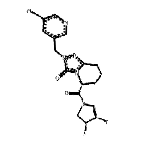 O=C([C@@H]1CCCc2nn(Cc3cncc(Cl)c3)c(=O)n21)N1C[C@@H](F)[C@@H](F)C1